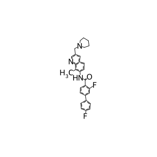 Cc1c(NC(=O)c2ccc(-c3ccc(F)cc3)cc2F)ccc2cc(CN3CCCCC3)cnc12